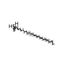 S=C(S)NCCCCCCCCCCCCCCCCCCCCCCI